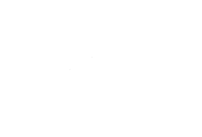 O=C(O)C(C(=O)O)c1ccc(/C(=C\COO)OO)cc1